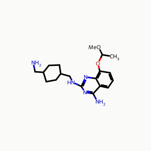 COC(C)Oc1cccc2c(N)nc(NCC3CCC(CN)CC3)nc12